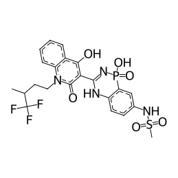 CC(CCn1c(=O)c(C2=NP(=O)(O)c3cc(NS(C)(=O)=O)ccc3N2)c(O)c2ccccc21)C(F)(F)F